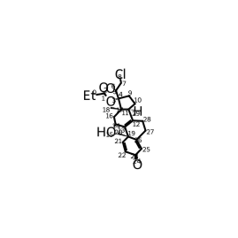 CCC(=O)O[C@]1(C(=O)CCl)CC[C@H]2C3=C(C(O)C[C@@]21C)[C@@]1(C)C=CC(=O)C=C1CC3